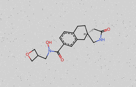 O=C1C[C@]2(CCc3ccc(C(=O)N(O)CC4COC4)cc3C2)CN1